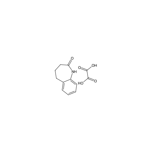 O=C(O)C(=O)O.O=C1CCCc2ccccc2N1